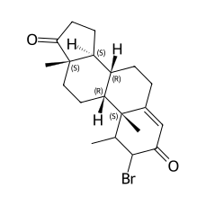 CC1C(Br)C(=O)C=C2CC[C@@H]3[C@@H](CC[C@]4(C)C(=O)CC[C@@H]34)[C@]21C